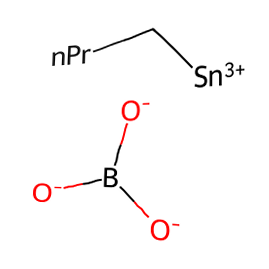 CCC[CH2][Sn+3].[O-]B([O-])[O-]